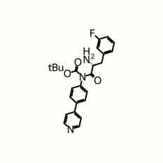 CC(C)(C)OC(=O)N(C(=O)[C@H](N)Cc1cccc(F)c1)c1ccc(-c2ccncc2)cc1